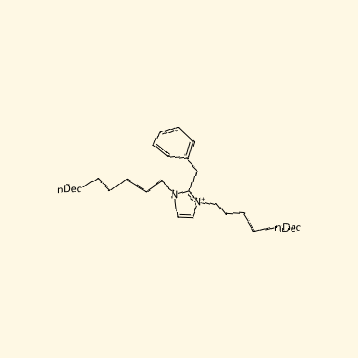 CCCCCCCCCCCCCCCn1cc[n+](CCCCCCCCCCCCCC)c1Cc1ccccc1